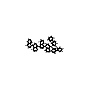 c1ccc2c(-c3ccc(-c4ccc(-c5ccc(N(c6cccc7c6sc6ccccc67)c6cccc7c6sc6ccccc67)c6ccccc56)c5ccccc45)c4ccccc34)cccc2c1